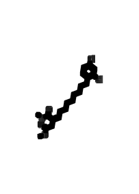 COC(=O)CC(=CCCCCCCCCc1ccc(Cl)cc1Cl)C(=O)OC